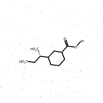 CC(C)OC(=O)C1CCCC([C@H](CC(=O)O)C(=O)O)C1